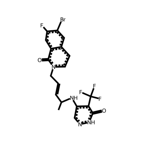 CC(/C=C/Cn1ccc2cc(Br)c(F)cc2c1=O)Nc1cn[nH]c(=O)c1C(F)(F)F